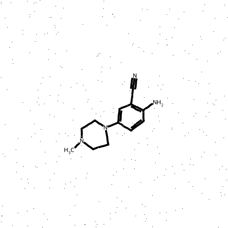 CN1CCN(c2ccc(N)c(C#N)c2)CC1